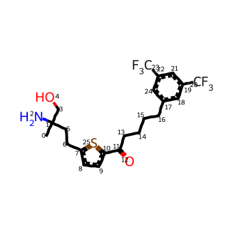 CC(N)(CO)CCc1ccc(C(=O)CCCCc2cc(C(F)(F)F)cc(C(F)(F)F)c2)s1